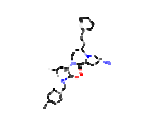 Cc1ccc(CNC(=O)[C@@H](CC(C)C)N2CCC(CCc3ccccc3)N3C[C@H](N)CC3C2=O)cc1